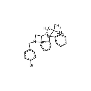 CC(C)(C)[Si](OC1CN(Cc2ccc(Br)cc2)C1)(c1ccccc1)c1ccccc1